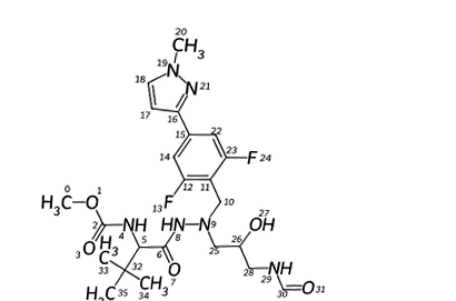 COC(=O)NC(C(=O)NN(Cc1c(F)cc(-c2ccn(C)n2)cc1F)CC(O)CNC=O)C(C)(C)C